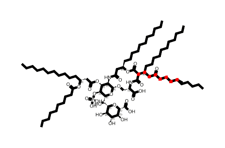 CCCCCCCCCCC[C@H](CC(=O)N[C@H]1[C@H](OC[C@H](NC(=O)C[C@@H](CCCCCCCCCCC)OC(=O)CCCCCCCCC)C(=O)O)O[C@H](C(O)[C@@H]2O[C@H](C(=O)O)[C@@H](O)[C@H](O)[C@H]2O)[C@@H](OP(=O)(O)O)[C@@H]1OC(=O)C[C@@H](CCCCCCCCCCC)OC(=O)CCCCCCCCC)OC(=O)CCCCCCCCC